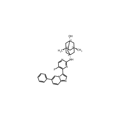 C[C@]12C[C@]3(C)C[C@](O)(C1)C[C@](Nc1ncc(F)c(-c4cnc5ccc(-c6ccccc6)cn45)n1)(C2)C3